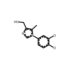 Cc1c(CO)ncn1-c1ccc(Cl)c(Cl)c1